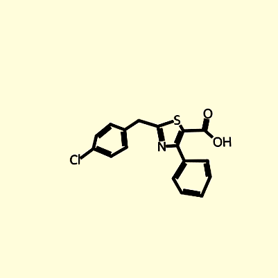 O=C(O)c1sc(Cc2ccc(Cl)cc2)nc1-c1ccccc1